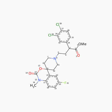 COC(=O)C(CCN1CCC2(CC1)OC(=O)N(C)c1ccc(F)cc12)c1ccc(Cl)c(Cl)c1